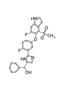 CS(=O)(=O)c1c(Oc2ccc(F)c(-c3ncc(C(O)c4ccccc4)[nH]3)c2)c(F)cc2[nH]ccc12